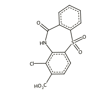 O=C1Nc2c(ccc(C(=O)O)c2Cl)S(=O)(=O)c2ccccc21